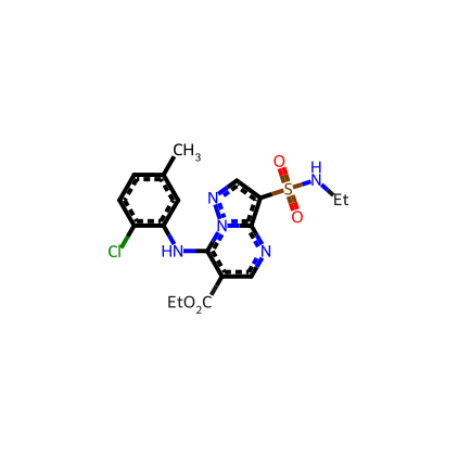 CCNS(=O)(=O)c1cnn2c(Nc3cc(C)ccc3Cl)c(C(=O)OCC)cnc12